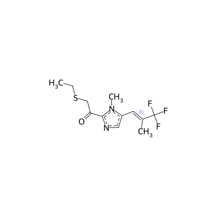 CCSCC(=O)c1ncc(/C=C(\C)C(F)(F)F)n1C